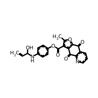 C=CC(O)Nc1ccc(OC(=O)c2c(C)oc3c2C(=O)c2ncccc2C3=O)cc1